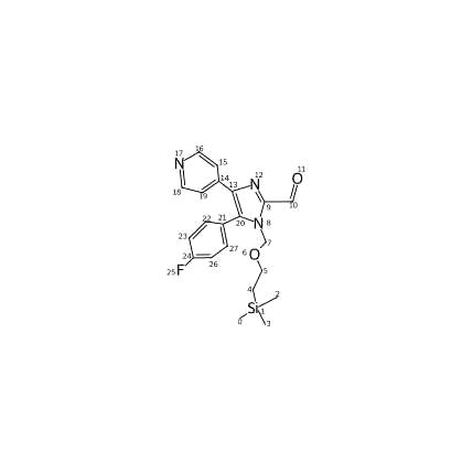 C[Si](C)(C)CCOCn1c(C=O)nc(-c2ccncc2)c1-c1ccc(F)cc1